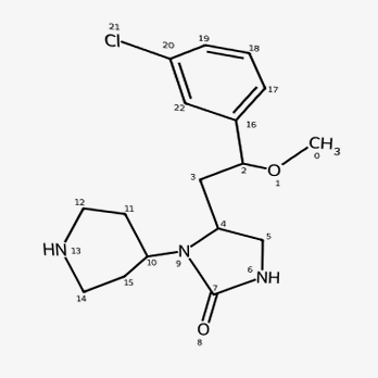 COC(CC1CNC(=O)N1C1CCNCC1)c1cccc(Cl)c1